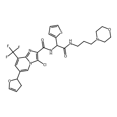 O=C(NC(C(=O)NCCCN1CCOCC1)c1cccs1)c1nc2c(C(F)(F)F)cc(C3CC=CO3)cn2c1Cl